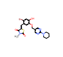 CN1C(=O)S/C(=C\c2cc(OCc3cnc(N4CCCCC4)nc3)c(O)cc2Br)C1=O